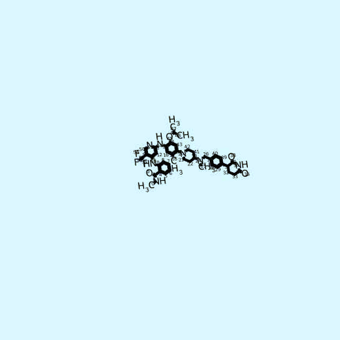 CNC(=O)c1ccccc1Nc1cc(Nc2cc(C)c(N3CCC(N(C)Cc4ccc(C5CCC(=O)NC5=O)cc4)CC3)cc2OC(C)C)ncc1C(F)(F)F